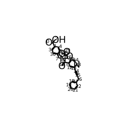 O=C(O)c1ccc(CN2C(=O)c3cc(C#CCc4ccccc4)ncc3OS2(=O)=O)cc1